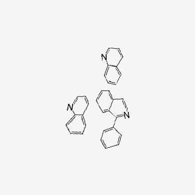 c1ccc(-c2nccc3ccccc23)cc1.c1ccc2ncccc2c1.c1ccc2ncccc2c1